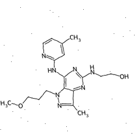 COCCCn1nc(C)c2nc(NCCO)nc(Nc3cc(C)ccn3)c21